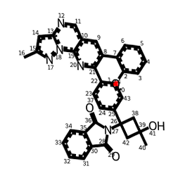 COc1ccccc1-c1cc2cnc3cc(C)nn3c2nc1-c1ccc(C2(N3C(=O)c4ccccc4C3=O)CC(C)(O)C2)cc1